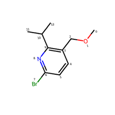 COCc1ccc(Br)nc1C(C)C